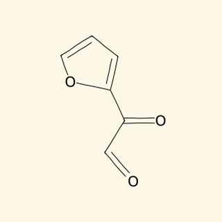 O=CC(=O)c1ccco1